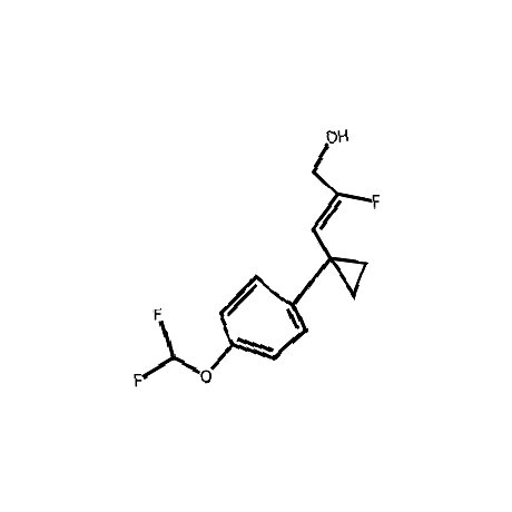 OCC(F)=CC1(c2ccc(OC(F)F)cc2)CC1